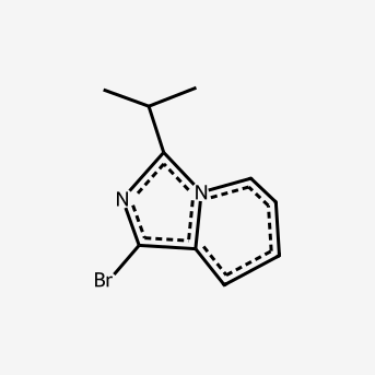 CC(C)c1nc(Br)c2ccccn12